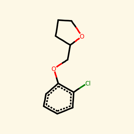 Clc1ccccc1OCC1CCCO1